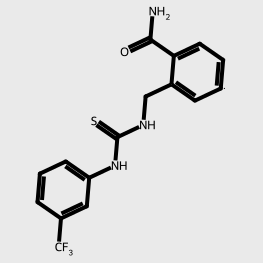 NC(=O)c1cc[c]cc1CNC(=S)Nc1cccc(C(F)(F)F)c1